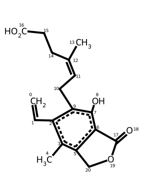 C=Cc1c(C)c2c(c(O)c1CC=C(C)CCC(=O)O)C(=O)OC2